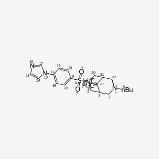 CCCCN1CC2CN(S(=O)(=O)c3ccc(-n4ccnc4)cc3)CC(C1)C2(C)C